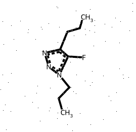 CCCc1nnn(CCC)c1F